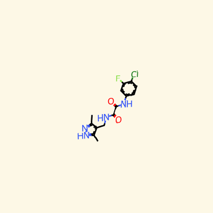 Cc1n[nH]c(C)c1CNC(=O)C(=O)Nc1ccc(Cl)c(F)c1